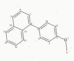 IOc1ccc(-c2cccc3ccccc23)cc1